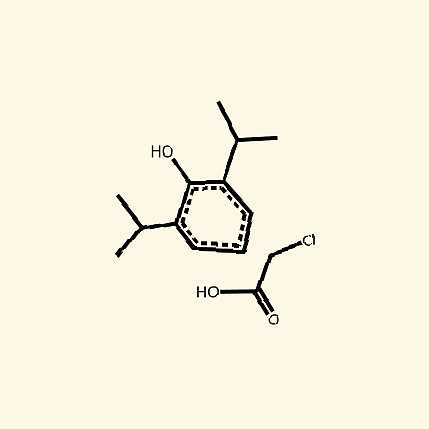 CC(C)c1cccc(C(C)C)c1O.O=C(O)CCl